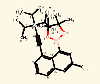 Cc1cc(B2OC(C)(C)C(C)(C)O2)c2c(C#C[Si](C(C)C)(C(C)C)C(C)C)cccc2c1